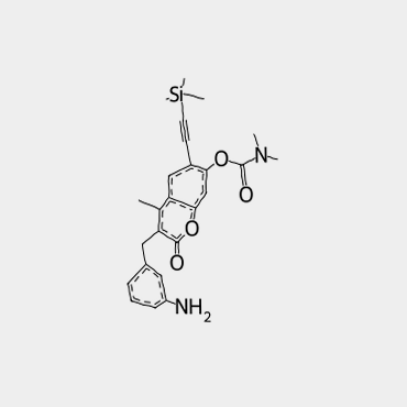 Cc1c(Cc2cccc(N)c2)c(=O)oc2cc(OC(=O)N(C)C)c(C#C[Si](C)(C)C)cc12